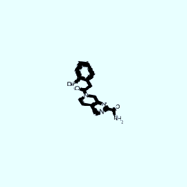 NC(=O)c1n[c]c2c(n1)CN(C(=O)Cc1ccccc1Br)CC2